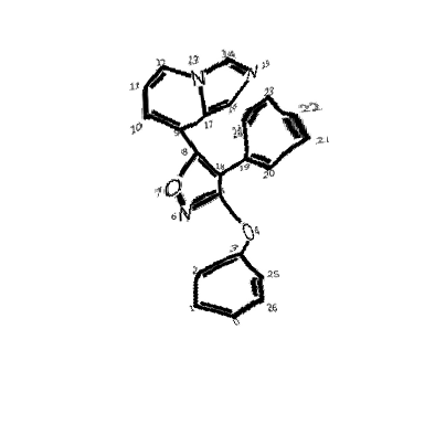 c1ccc(Oc2noc(-c3cccn4cncc34)c2-c2ccccc2)cc1